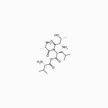 CC(C)C[C@@H](C(=O)OC(=O)[C@@H](N)C(C)C)N(C(=O)[C@H](C)N)C(=O)[C@@H](N)[C@@H](C)O